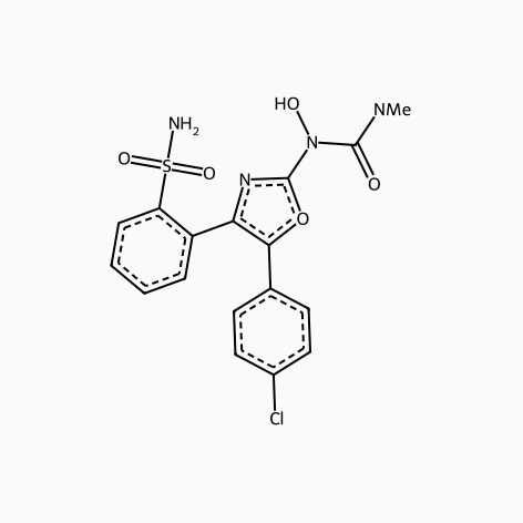 CNC(=O)N(O)c1nc(-c2ccccc2S(N)(=O)=O)c(-c2ccc(Cl)cc2)o1